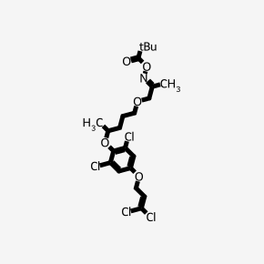 CC(COCCCC(C)Oc1c(Cl)cc(OCC=C(Cl)Cl)cc1Cl)=NOC(=O)C(C)(C)C